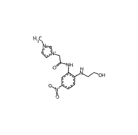 Cn1cc[n+](CC(=O)Nc2cc([N+](=O)[O-])ccc2NCCO)c1